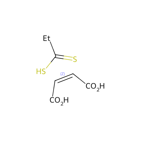 CCC(=S)S.O=C(O)/C=C\C(=O)O